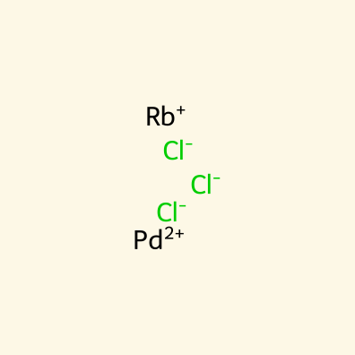 [Cl-].[Cl-].[Cl-].[Pd+2].[Rb+]